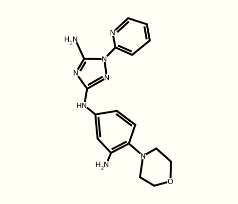 Nc1cc(Nc2nc(N)n(-c3ccccn3)n2)ccc1N1CCOCC1